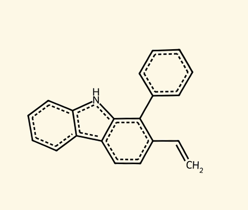 C=Cc1ccc2c([nH]c3ccccc32)c1-c1ccccc1